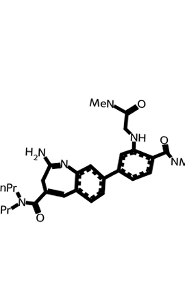 CCCN(CCC)C(=O)C1=Cc2ccc(-c3ccc(C(=O)NC)c(NCC(=O)NC)c3)cc2N=C(N)C1